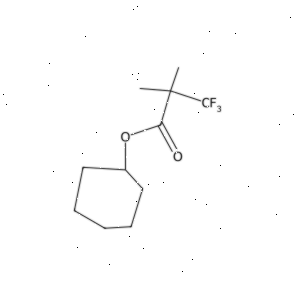 CC(C)(C(=O)OC1CCCCC1)C(F)(F)F